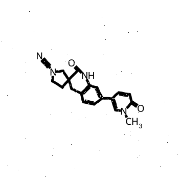 Cn1cc(-c2ccc3c(c2)NC(=O)C2(CCN(C#N)C2)C3)ccc1=O